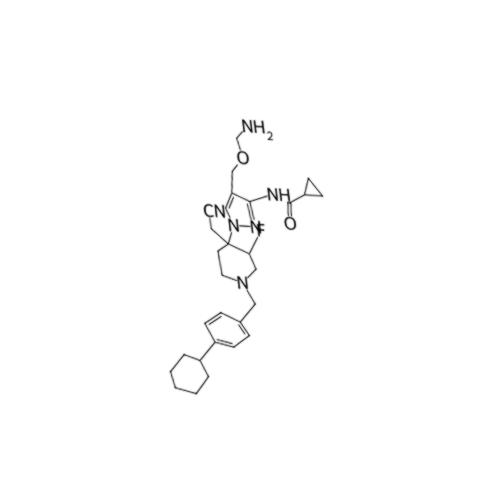 N#CCC1(n2cc(COCN)c(NC(=O)C3CC3)n2)CCN(Cc2ccc(C3CCCCC3)cc2)CC1F